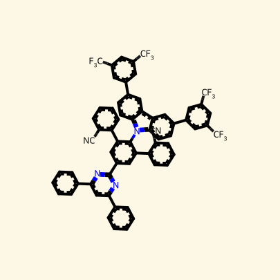 N#Cc1ccccc1-c1cc(-c2nc(-c3ccccc3)cc(-c3ccccc3)n2)cc(-c2ccccc2C#N)c1-n1c2ccc(-c3cc(C(F)(F)F)cc(C(F)(F)F)c3)cc2c2cc(-c3cc(C(F)(F)F)cc(C(F)(F)F)c3)ccc21